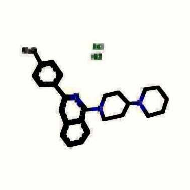 COc1ccc(-c2cc3ccccc3c(N3CCC(N4CCCCC4)CC3)n2)cc1.Cl.Cl